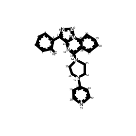 Fc1ccccc1-c1nnn2c1nc(N1CCN(c3ccncc3)CC1)c1ccccc12